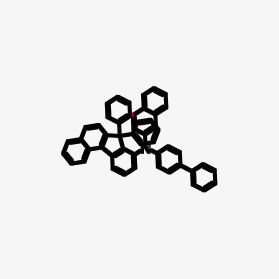 c1ccc(-c2ccc(N(c3ccc4ccccc4c3)c3cccc4c3C(c3ccccc3)(c3ccccc3)c3ccc5ccccc5c3-4)cc2)cc1